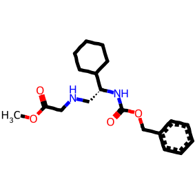 COC(=O)CNC[C@@H](NC(=O)OCc1ccccc1)C1CCCCC1